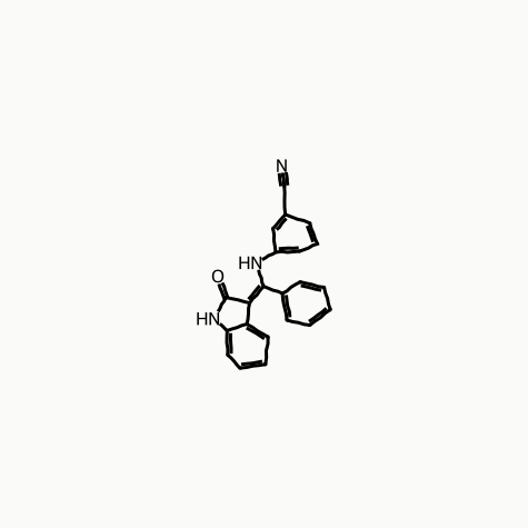 N#Cc1cccc(N/C(=C2\C(=O)Nc3ccccc32)c2ccccc2)c1